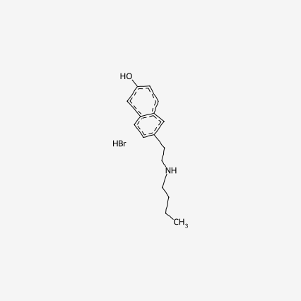 Br.CCCCNCCc1ccc2cc(O)ccc2c1